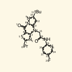 CC(C)c1nc2c(s1)c(=O)n1nc(C(C)(C)C)cc1n2CC(=O)Nc1ccc(F)cn1